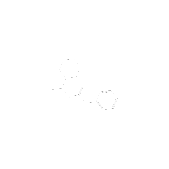 CC(NC(=O)Cc1ccccc1)C1CCCCC1